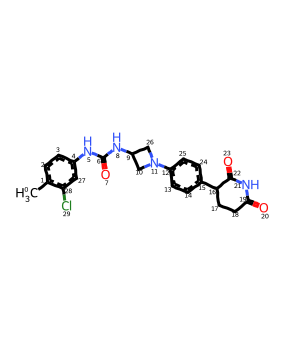 Cc1ccc(NC(=O)NC2CN(c3ccc(C4CCC(=O)NC4=O)cc3)C2)cc1Cl